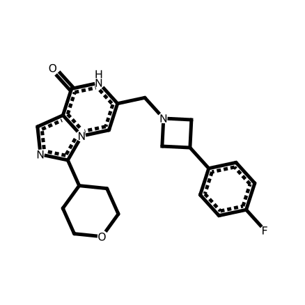 O=c1[nH]c(CN2CC(c3ccc(F)cc3)C2)cn2c(C3CCOCC3)ncc12